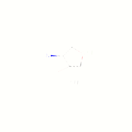 C[C@@]1(O)COC[C@@H]1N.Cl